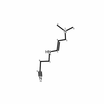 CN(C)CC=CNCCC#N